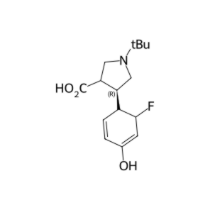 CC(C)(C)N1CC(C(=O)O)[C@H](C2C=CC(O)=CC2F)C1